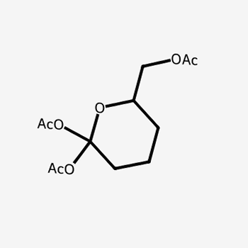 CC(=O)OCC1CCCC(OC(C)=O)(OC(C)=O)O1